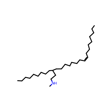 CCCCCCCC/C=C\CCCCCCCC(CCCCCCCCC)CCNC